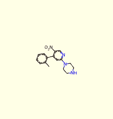 Cc1ccccc1-c1cc(N2CCNCC2)ncc1[N+](=O)[O-]